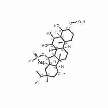 COP(=O)(O)O[C@@H]1[C@H]2C[C@@](C)([C@@H](C)C(C)C)C[C@@H](C)[C@@H]2[C@@]2(C)CC[C@H]3[C@@H]([C@@H](O)[C@@H](O)[C@H]4[C@@H](O)[C@H](OS(=O)(=O)O)CC[C@@]43C)[C@H]12